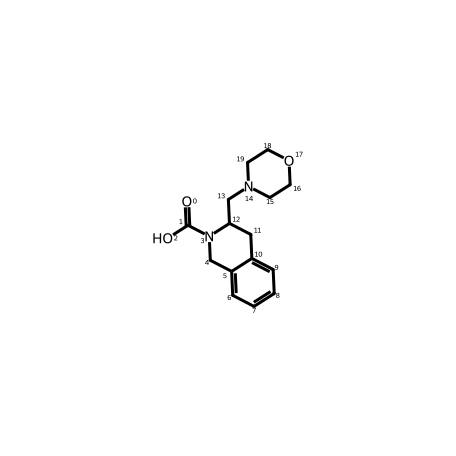 O=C(O)N1Cc2ccccc2CC1CN1CCOCC1